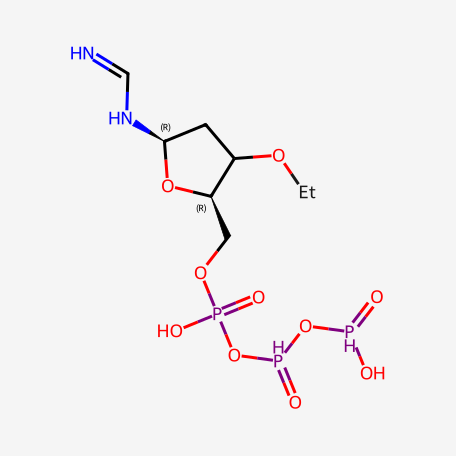 CCOC1C[C@H](NC=N)O[C@@H]1COP(=O)(O)O[PH](=O)O[PH](=O)O